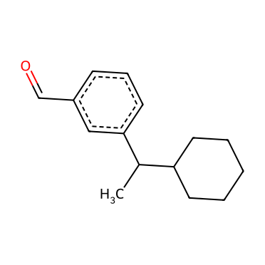 CC(c1cccc(C=O)c1)C1CCCCC1